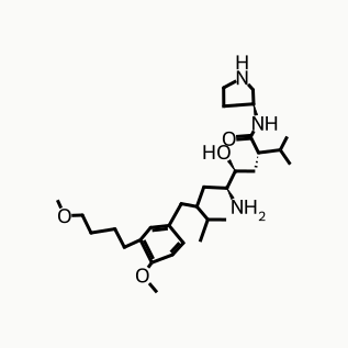 COCCCCc1cc(CC(C[C@H](N)[C@@H](O)C[C@H](C(=O)N[C@H]2CCNC2)C(C)C)C(C)C)ccc1OC